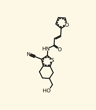 N#Cc1c(NC(=O)/C=C/c2ccco2)sc2c1CCC(CO)C2